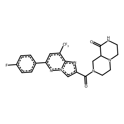 O=C1NCCN2CCN(C(=O)c3cn4nc(-c5ccc(F)cc5)cc(C(F)(F)F)c4n3)CC12